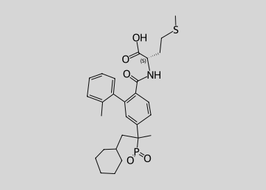 CSCC[C@H](NC(=O)c1ccc(C(C)(CC2CCCCC2)P(=O)=O)cc1-c1ccccc1C)C(=O)O